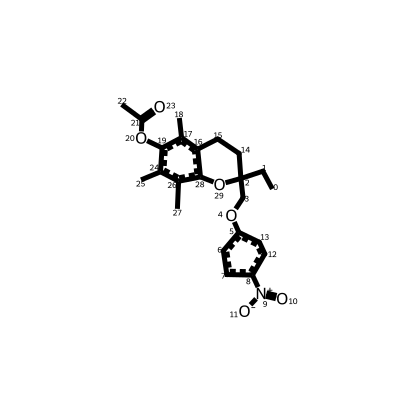 CCC1(COc2ccc([N+](=O)[O-])cc2)CCc2c(C)c(OC(C)=O)c(C)c(C)c2O1